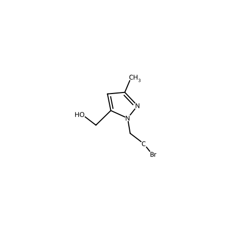 Cc1cc(CO)n(CCBr)n1